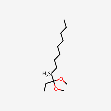 CCCCCCCC[SiH2]C(CC)(OC)OC